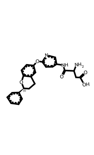 NC(CC(=O)O)C(=O)Nc1ccc(Oc2ccc3c(c2)CC[C@@H](c2ccccc2)O3)nc1